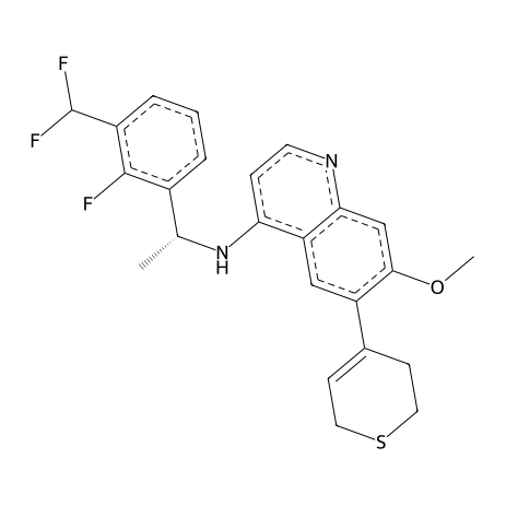 COc1cc2nccc(N[C@H](C)c3cccc(C(F)F)c3F)c2cc1C1=CCSCC1